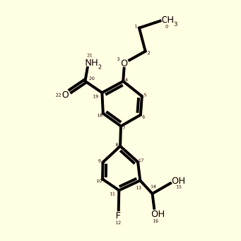 CCCOc1ccc(-c2ccc(F)c(C(O)O)c2)cc1C(N)=O